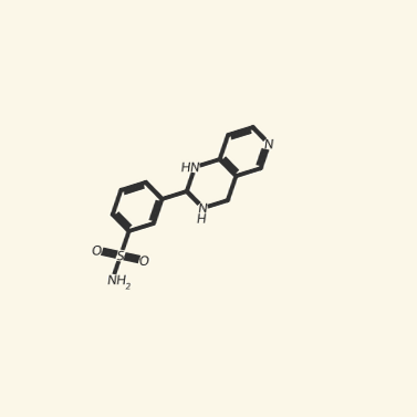 NS(=O)(=O)c1cccc(C2NCc3cnccc3N2)c1